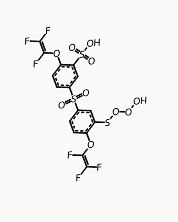 O=S(=O)(O)c1cc(S(=O)(=O)c2ccc(OC(F)=C(F)F)c(SOOO)c2)ccc1OC(F)=C(F)F